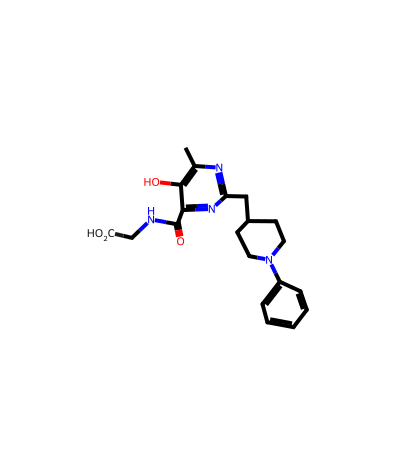 Cc1nc(CC2CCN(c3ccccc3)CC2)nc(C(=O)NCC(=O)O)c1O